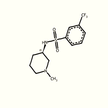 CN1CCC[C@@H](NS(=O)(=O)c2cccc(C(F)(F)F)c2)C1